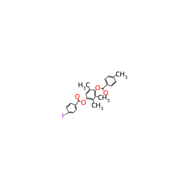 Cc1ccc(C(=O)Oc2c(C)cc(OC(=O)c3ccc(I)cc3)c(C)c2C)cc1